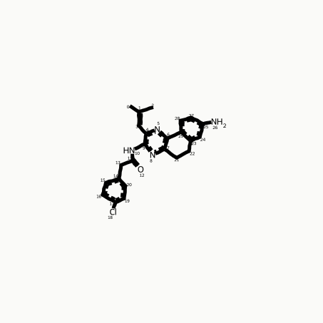 CC(C)=Cc1nc2c(nc1NC(=O)Cc1ccc(Cl)cc1)CCc1cc(N)ccc1-2